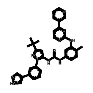 Cc1ccc(NC(=O)Nc2cc(C(C)(C)C)nn2-c2cccc(-c3cn[nH]c3)c2)cc1Nc1nccc(-c2cccnc2)n1